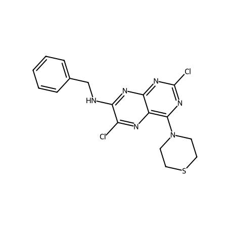 Clc1nc(N2CCSCC2)c2nc(Cl)c(NCc3ccccc3)nc2n1